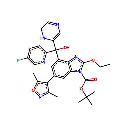 CCOc1nc2c(C(O)(C3=CN=CCN3)c3ccc(F)cn3)cc(-c3c(C)noc3C)cc2n1C(=O)OC(C)(C)C